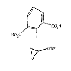 CCCCCCC1CO1.Cc1c(C(=O)O)cccc1C(=O)O